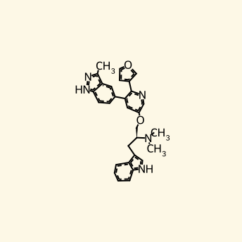 Cc1n[nH]c2ccc(-c3cc(OC[C@H](Cc4c[nH]c5ccccc45)N(C)C)cnc3-c3ccoc3)cc12